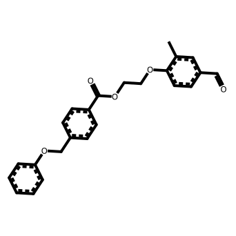 Cc1cc(C=O)ccc1OCCOC(=O)c1ccc(COc2ccccc2)cc1